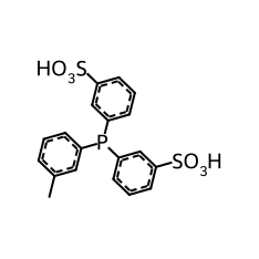 Cc1cccc(P(c2cccc(S(=O)(=O)O)c2)c2cccc(S(=O)(=O)O)c2)c1